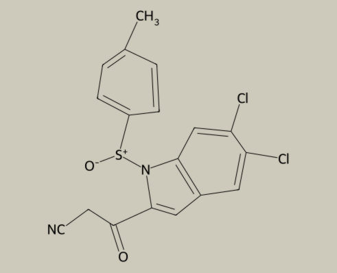 Cc1ccc([S+]([O-])n2c(C(=O)CC#N)cc3cc(Cl)c(Cl)cc32)cc1